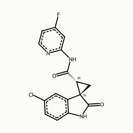 O=C(Nc1cc(F)ccn1)[C@@H]1C[C@]12C(=O)Nc1ccc(Cl)cc12